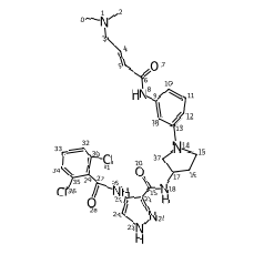 CN(C)CC=CC(=O)Nc1cccc(N2CCC(NC(=O)c3n[nH]cc3NC(=O)c3c(Cl)cccc3Cl)C2)c1